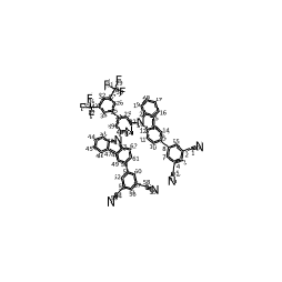 N#Cc1cc(C#N)cc(-c2ccc3c(c2)c2ccccc2n3-c2cc(-c3cc(C(F)(F)F)cc(C(F)(F)F)c3)cc(-n3c4ccccc4c4cc(-c5cc(C#N)cc(C#N)c5)ccc43)n2)c1